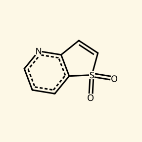 O=S1(=O)C=Cc2ncccc21